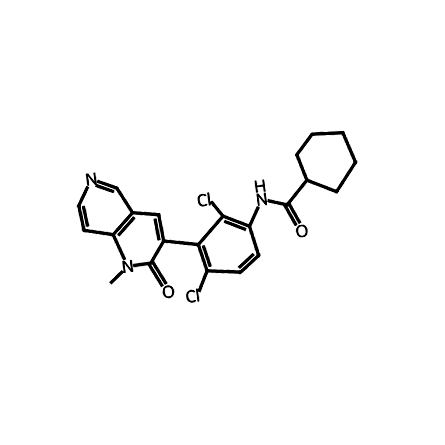 Cn1c(=O)c(-c2c(Cl)ccc(NC(=O)C3CCCCC3)c2Cl)cc2cnccc21